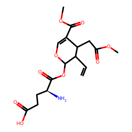 C=CC1C(OC(=O)[C@@H](N)CCC(=O)O)OC=C(C(=O)OC)C1CC(=O)OC